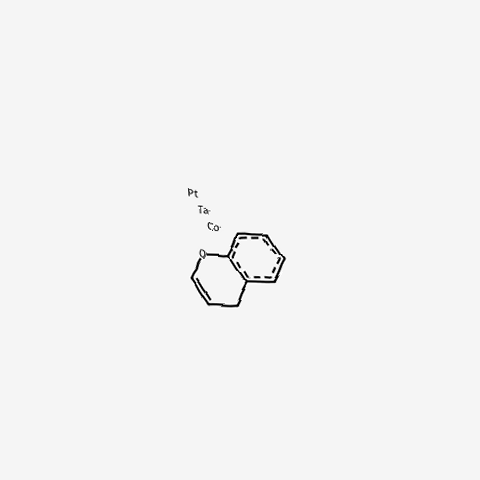 C1=COc2ccccc2C1.[Co].[Pt].[Ta]